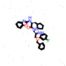 O=C(NC[C@H](COCc1ccccc1)Nc1ccc(F)cc1)[C@H](CC1CCCCC1)Nc1nc2ccccc2o1